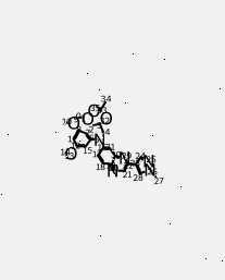 COCC(CN(c1cc(OC)cc(OC)c1)c1ccc2ncc(-c3cnn(C)c3)nc2c1)OC(C)=O